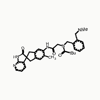 CNCc1ccccc1CN(CC(=O)Nc1cc2c(cc1C)CC1(C2)C(=O)Nc2ncccc21)C(=O)C(C)(C)C